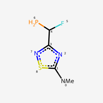 CNc1nc(C(F)P)ns1